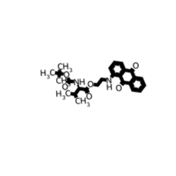 CC(C)[C@@H](NC(=O)OC(C)(C)C)C(=O)OCCNc1cccc2c1C(=O)c1ccccc1C2=O